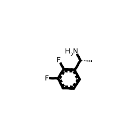 C[C@@H](N)c1cccc(F)c1F